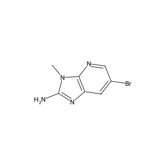 Cn1c(N)nc2cc(Br)cnc21